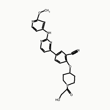 COc1cc(Nc2nccc(-c3ccc(OC4CCN(C(=O)CO)CC4)c(C#N)c3)n2)ccn1